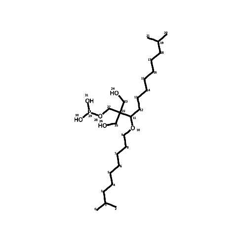 CC(C)CCCCCCCOC(CCCCCCCC(C)C)C(CO)(CO)COP(O)O